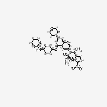 CC(c1cnc([N+](=O)[O-])n1C)N(c1cnc2cc(N3CCOCC3)nc(OC3CCC(Nc4ncccn4)CC3)c2c1)S(C)(=O)=O